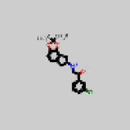 O=C(O)C1(C(=O)O)Oc2ccc3c(c2O1)CC(NCC(O)c1cccc(Cl)c1)C3